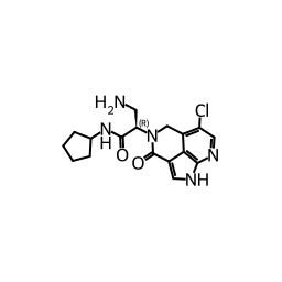 NC[C@H](C(=O)NC1CCCC1)N1Cc2c(Cl)cnc3[nH]cc(c23)C1=O